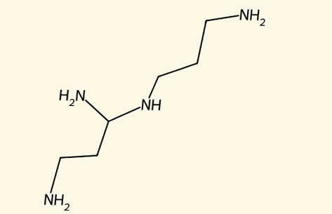 NCCCNC(N)CCN